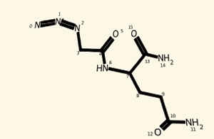 [N-]=[N+]=NCC(=O)NC(CCC(N)=O)C(N)=O